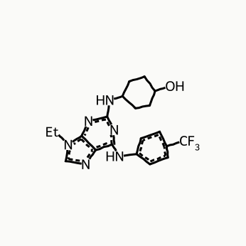 CCn1cnc2c(Nc3ccc(C(F)(F)F)cc3)nc(NC3CCC(O)CC3)nc21